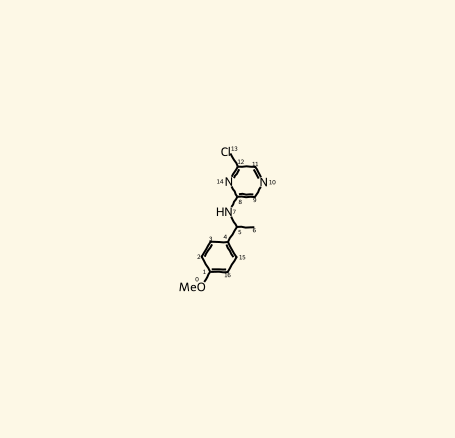 COc1ccc(C(C)Nc2cncc(Cl)n2)cc1